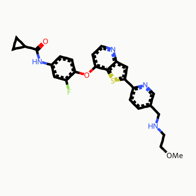 COCCNCc1ccc(-c2cc3nccc(Oc4ccc(NC(=O)C5CC5)cc4F)c3s2)nc1